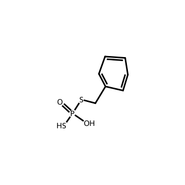 O=P(O)(S)SCc1ccccc1